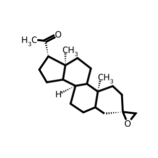 CC(=O)[C@H]1CCC2[C@@H]3CCC4C[C@]5(CC[C@]4(C)C3CC[C@@]21C)CO5